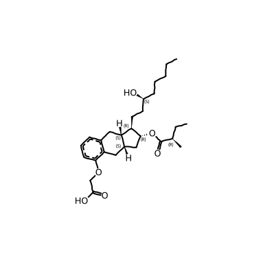 CCCCC[C@H](O)CC[C@@H]1[C@H]2Cc3cccc(OCC(=O)O)c3C[C@H]2C[C@H]1OC(=O)[C@H](C)CC